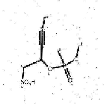 CC#CC(CS(=O)(=O)O)OP(C)(=O)OCC